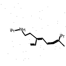 C=C/C(=C\C=C=C(C)C(C)C)CCNC(C)C